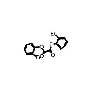 CCc1ccccc1OC(=O)C(=O)Oc1ccccc1CC